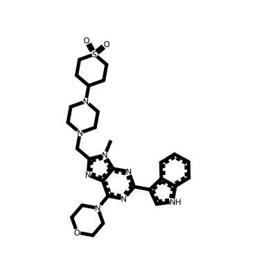 Cn1c(CN2CCN(C3CCS(=O)(=O)CC3)CC2)nc2c(N3CCOCC3)nc(-c3c[nH]c4ccccc34)nc21